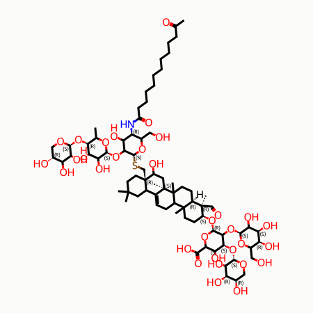 CC(=O)CCCCCCCCCCC(=O)N[C@H]1C(CO)O[C@@H](SC[C@]23CCC(C)(C)CC2C2=CCC4C5(C)CC[C@H](O[C@@H]6OC(C(=O)O)[C@@H](O)[C@H](O[C@@H]7OC[C@@H](O)[C@@H](O)C7O)C6O[C@@H]6OC(CO)[C@H](O)[C@H](O)C6O)[C@](C)(C=O)[C@@H]5CCC4(C)[C@]2(C)CC3O)C(O[C@@H]2OC(C)[C@H](O[C@@H]3OC[C@@H](O)C(O)C3O)C(O)C2O)C1O